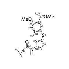 COC(=O)c1cc(Sc2cnc(NC(=O)C3CC3)s2)c(C)cc1OC